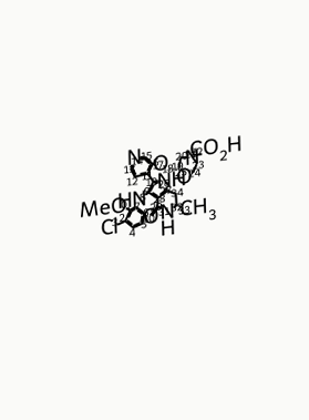 COc1c(Cl)cccc1Nc1c(-c2ccncc2OC[C@@H]2CN(C(=O)O)CCO2)[nH]c2c1C(=O)N[C@H](C)C2